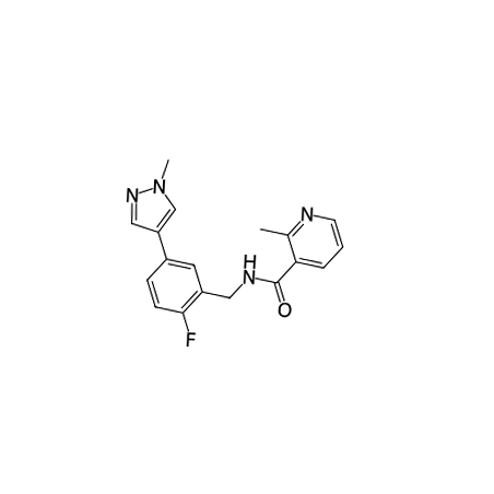 Cc1ncccc1C(=O)NCc1cc(-c2cnn(C)c2)ccc1F